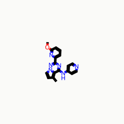 COc1cccc(-c2nc(Nc3ccncc3)c3c(C)ccn3n2)n1